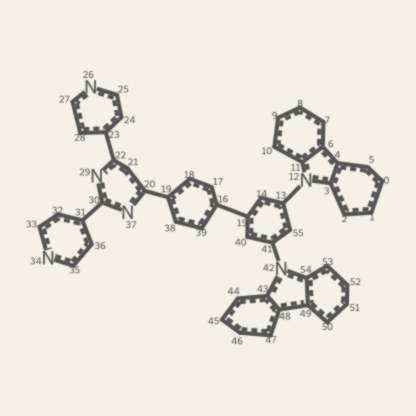 c1ccc2c(c1)c1ccccc1n2-c1cc(-c2ccc(-c3cc(-c4ccncc4)nc(-c4ccncc4)n3)cc2)cc(-n2c3ccccc3c3ccccc32)c1